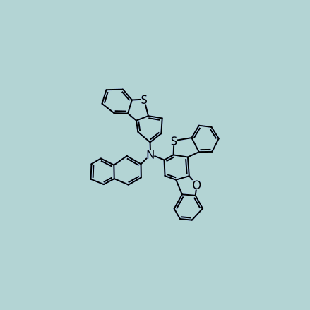 c1ccc2cc(N(c3ccc4sc5ccccc5c4c3)c3cc4c5ccccc5oc4c4c3sc3ccccc34)ccc2c1